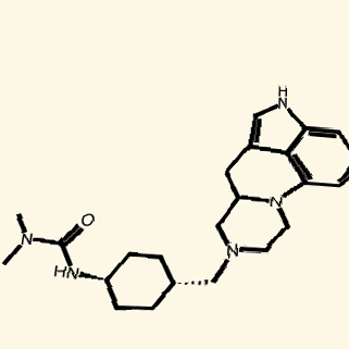 CN(C)C(=O)N[C@H]1CC[C@H](CN2CCN3c4cccc5[nH]cc(c45)CC3C2)CC1